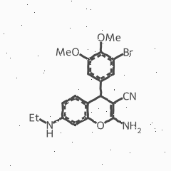 CCNc1ccc2c(c1)OC(N)=C(C#N)C2c1cc(Br)c(OC)c(OC)c1